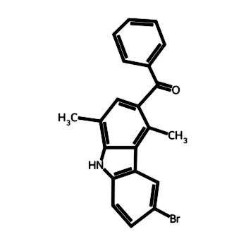 Cc1cc(C(=O)c2ccccc2)c(C)c2c1[nH]c1ccc(Br)cc12